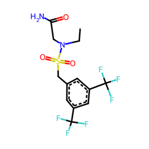 CCN(CC(N)=O)S(=O)(=O)Cc1cc(C(F)(F)F)cc(C(F)(F)F)c1